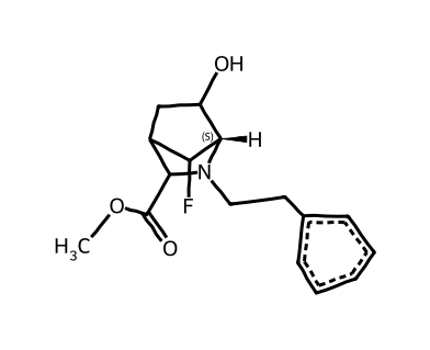 COC(=O)C1C2CC(O)[C@@H](C2F)N1CCc1ccccc1